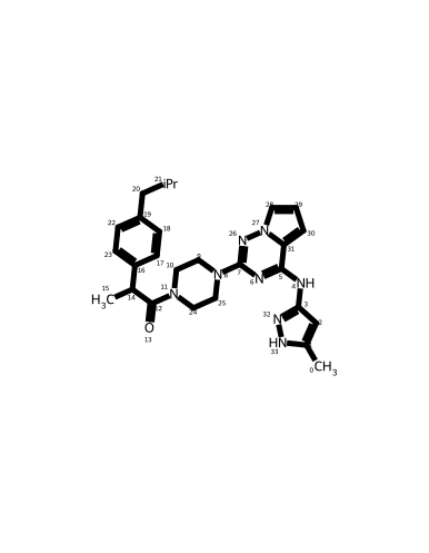 Cc1cc(Nc2nc(N3CCN(C(=O)C(C)c4ccc(CC(C)C)cc4)CC3)nn3cccc23)n[nH]1